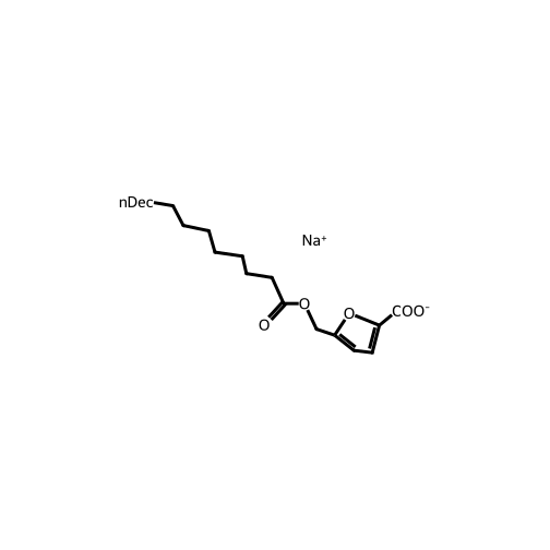 CCCCCCCCCCCCCCCCCC(=O)OCc1ccc(C(=O)[O-])o1.[Na+]